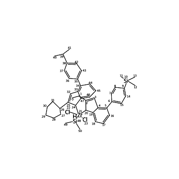 CCC1=Cc2c(-c3ccc([Si](C)(C)C)cc3)cccc2[CH]1[Zr]([Cl])([Cl])([CH]1C(C2CCCCC2)=Cc2c(-c3ccc(C(C)C)cc3)cccc21)[SiH](C)C